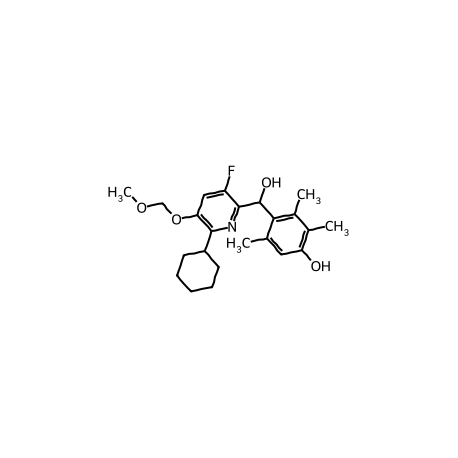 COCOc1cc(F)c(C(O)c2c(C)cc(O)c(C)c2C)nc1C1CCCCC1